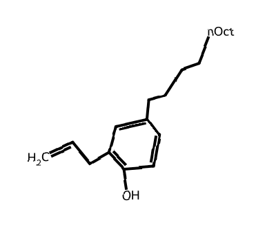 C=CCc1cc(CCCCCCCCCCCC)ccc1O